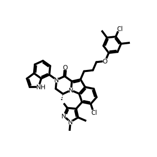 Cc1cc(OCCCc2c3n(c4c(-c5c(C)nn(C)c5C)c(Cl)ccc24)[C@H](C)CN(c2cccc4cc[nH]c24)C3=O)cc(C)c1Cl